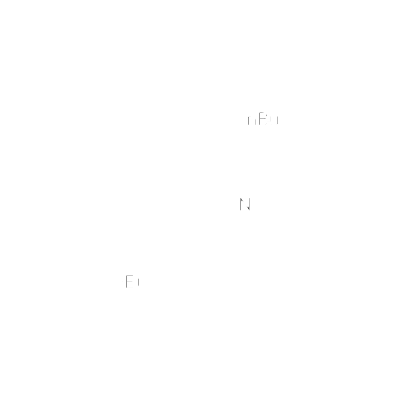 C[CH]c1ccc(CCCC)nc1